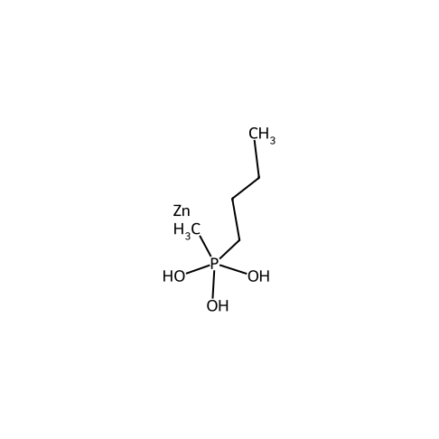 CCCCP(C)(O)(O)O.[Zn]